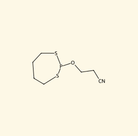 N#CCCOP1SCCCCS1